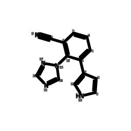 N#Cc1cccc(-c2cc[nH]c2)c1-n1cncn1